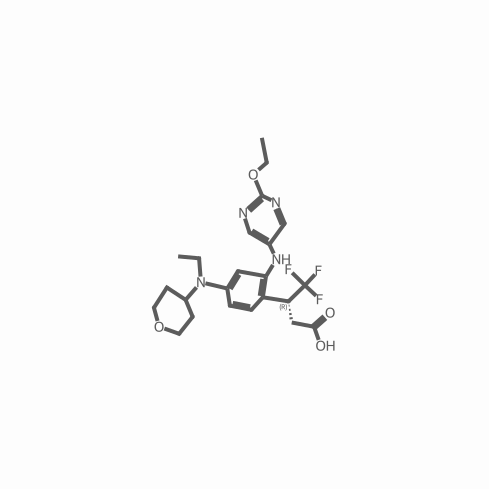 CCOc1ncc(Nc2cc(N(CC)C3CCOCC3)ccc2[C@@H](CC(=O)O)C(F)(F)F)cn1